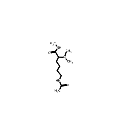 CNC(=O)C(CCCCNC(C)=O)N(C)C